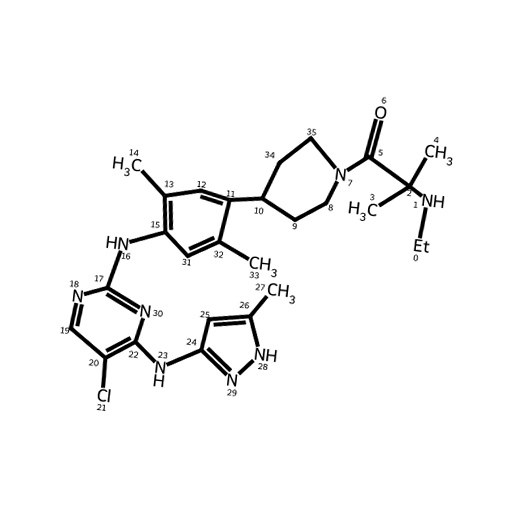 CCNC(C)(C)C(=O)N1CCC(c2cc(C)c(Nc3ncc(Cl)c(Nc4cc(C)[nH]n4)n3)cc2C)CC1